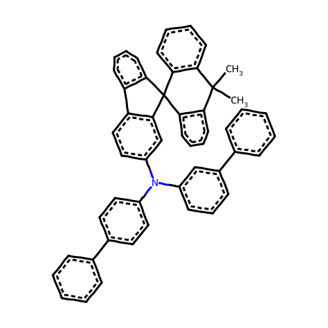 CC1(C)c2ccccc2C2(c3ccccc3-c3ccc(N(c4ccc(-c5ccccc5)cc4)c4cccc(-c5ccccc5)c4)cc32)c2ccccc21